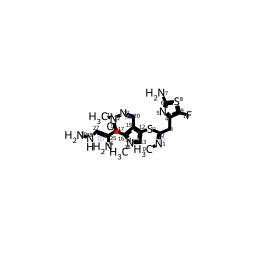 C/N=C(/Cc1nc(N)sc1F)Sc1cn(C)c(C=O)c1/C=N\N(C)C/C(N)=C/NN